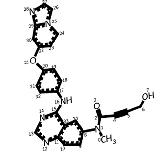 CN(C(=O)C#CCO)c1ccc2ncnc(Nc3ccc(Oc4ccn5ccnc5c4)cc3)c2c1